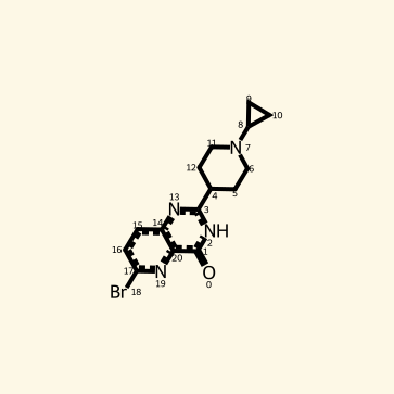 O=c1[nH]c(C2CCN(C3CC3)CC2)nc2ccc(Br)nc12